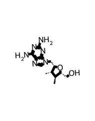 C[C@H]1[C@H](C)[C@@H](CO)O[C@H]1Cn1cnc2c(N)nc(N)nc21